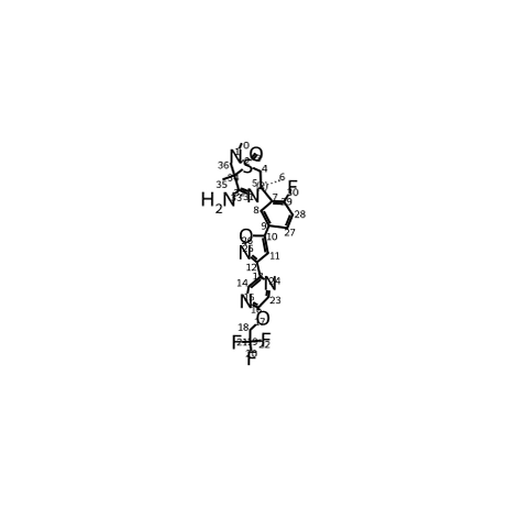 CN=S1(=O)C[C@@](C)(c2cc(-c3cc(-c4cnc(OCC(F)(F)F)cn4)no3)ccc2F)N=C(N)C1(C)C